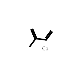 C=CC(=C)C.[Co]